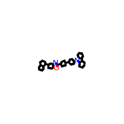 c1ccc2c(-c3ccc4oc(-c5ccc(-c6ccc(-n7c8ccccc8c8ccccc87)cc6)cc5)nc4c3)cccc2c1